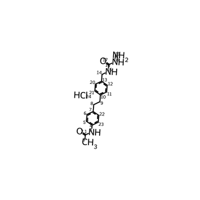 CC(=O)Nc1ccc(CCc2ccc(CNC(=O)NN)cc2)cc1.Cl